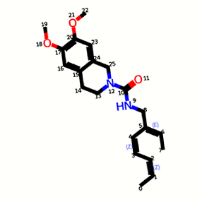 C\C=C/C=C\C(=C/C)CNC(=O)N1CCc2cc(OC)c(OC)cc2C1